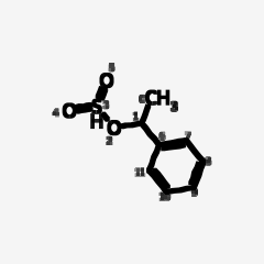 CC(O[SH](=O)=O)c1ccccc1